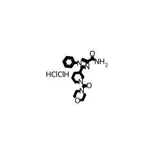 Cl.Cl.NC(=O)c1cn(-c2ccccc2)c(C2CCCN(C(=O)N3CCOCC3)C2)n1